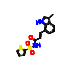 Cc1c[nH]c2c(/C=C/C(=O)NS(=O)(=O)c3cccs3)cccc12